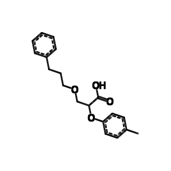 Cc1ccc(OC(COCCCc2ccccc2)C(=O)O)cc1